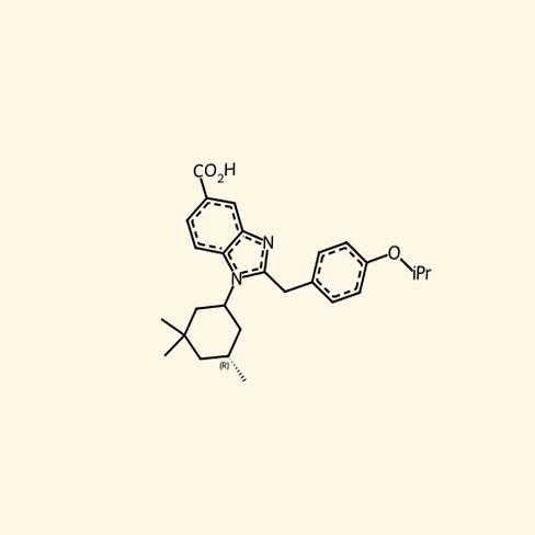 CC(C)Oc1ccc(Cc2nc3cc(C(=O)O)ccc3n2C2C[C@H](C)CC(C)(C)C2)cc1